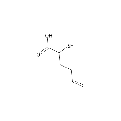 C=CCCC(S)C(=O)O